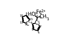 C[C@H](O)[c-]1cccc1.[Fe+2].c1cc[cH-]c1